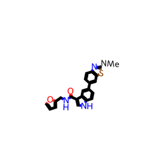 CNc1nc2ccc(-c3ccc4[nH]cc(C(=O)NCc5ccco5)c4c3)cc2s1